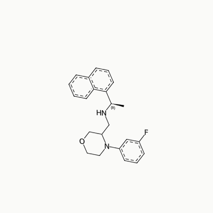 C[C@@H](NCC1COCCN1c1cccc(F)c1)c1cccc2ccccc12